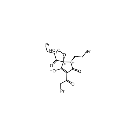 CC(C)CCC(=O)[C@@]1(OC(=O)O)C(O)=C(C(=O)CC(C)C)C(=O)[C@@H]1CCC(C)C